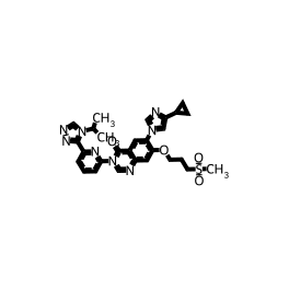 CC(C)n1cnnc1-c1cccc(-n2cnc3cc(OCCCS(C)(=O)=O)c(-n4cnc(C5CC5)c4)cc3c2=O)n1